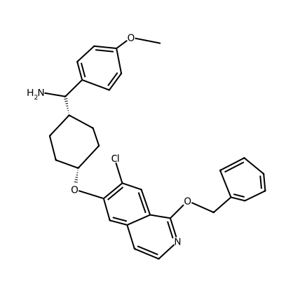 COc1ccc(C(N)[C@H]2CC[C@@H](Oc3cc4ccnc(OCc5ccccc5)c4cc3Cl)CC2)cc1